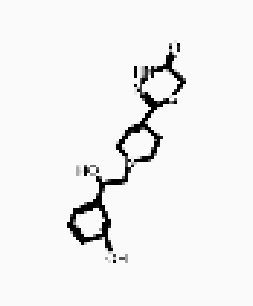 O=C1CSC(C2=CCN(CC(O)c3cccc(O)c3)CC2)=NN1